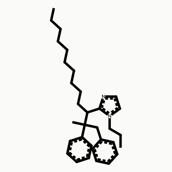 CCCCCCCCCCC(c1nccn1CCC)C(C)(Cc1ccccc1)c1ccccc1